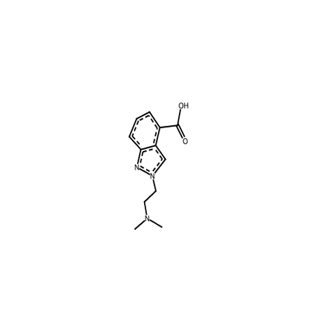 CN(C)CCn1cc2c(C(=O)O)cccc2n1